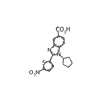 O=C(O)c1ccc2c(c1)nc(-c1ccc([N+](=O)[O-])s1)n2C1CCCC1